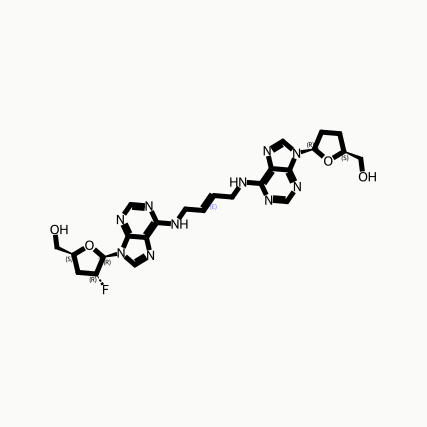 OC[C@@H]1C[C@@H](F)[C@H](n2cnc3c(NC/C=C/CNc4ncnc5c4ncn5[C@H]4CC[C@@H](CO)O4)ncnc32)O1